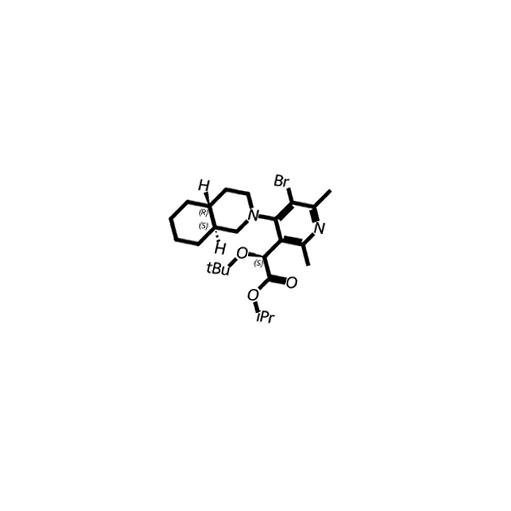 Cc1nc(C)c([C@H](OC(C)(C)C)C(=O)OC(C)C)c(N2CC[C@H]3CCCC[C@@H]3C2)c1Br